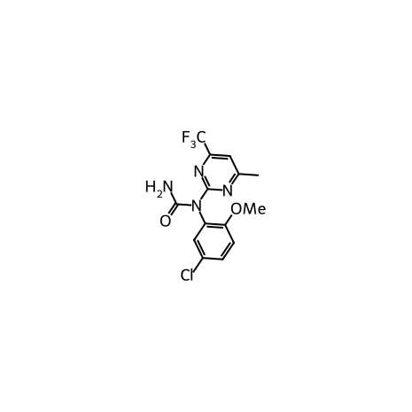 COc1ccc(Cl)cc1N(C(N)=O)c1nc(C)cc(C(F)(F)F)n1